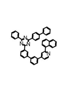 c1ccc(-c2ccc(-c3nc(-c4ccccc4)nc(-c4cccc(-c5cccc(-c6ccnc(-c7cccc8ccccc78)c6)c5)c4)n3)cc2)cc1